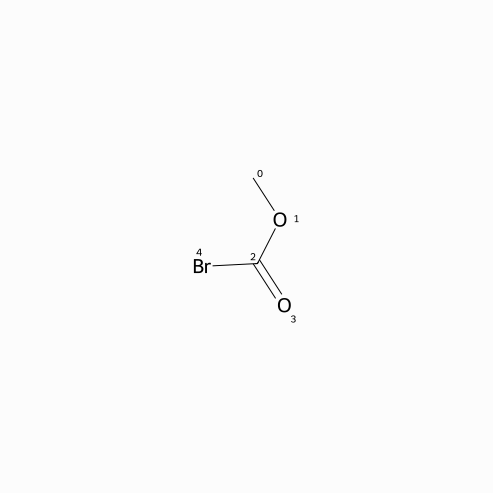 COC(=O)Br